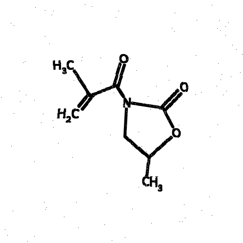 C=C(C)C(=O)N1CC(C)OC1=O